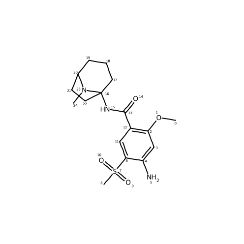 COc1cc(N)c(S(C)(=O)=O)cc1C(=O)NC12CCCC(CC1)N2C